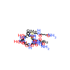 CC[C@H](C)[C@H](NC(=O)CN)C(=O)NCC(=O)N[C@H]1C[S+]([O-])c2[nH]c3c(CSCCCCNC(=O)CCCCCON)c(OC)ccc3c2C[C@@H](CO)NC(=O)[C@H]([C@@H](C)[C@@H](O)CO)NC(=O)C[C@@H](O)CNC(=O)[C@H](CC(N)=O)NC1=O